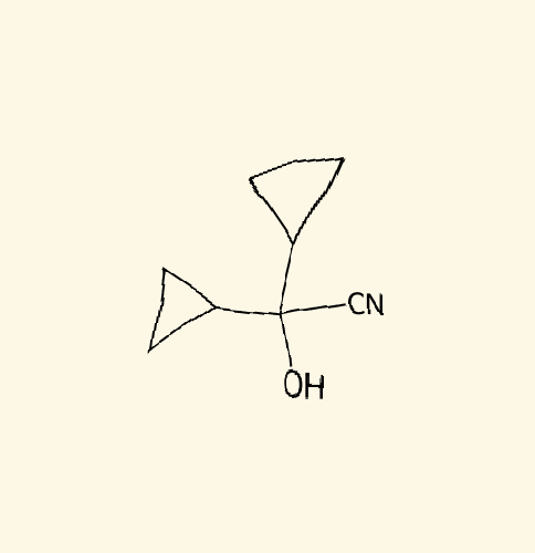 N#CC(O)(C1CC1)C1CC1